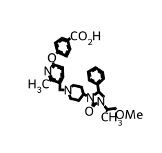 COC[C@@H](C)N1CC(c2ccccc2)N(C2CCN(Cc3ccc(Oc4ccc(C(=O)O)cc4)nc3C)CC2)C1=O